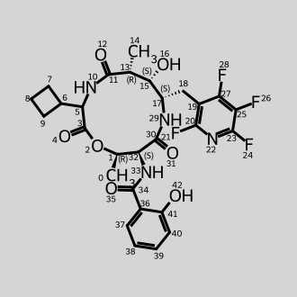 C[C@H]1OC(=O)C(C2CCC2)NC(=O)[C@H](C)[C@H](O)[C@H](Cc2c(F)nc(F)c(F)c2F)NC(=O)[C@H]1NC(=O)c1ccccc1O